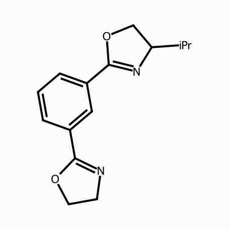 CC(C)C1COC(c2cccc(C3=NCCO3)c2)=N1